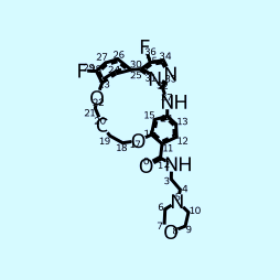 O=C(NCCN1CCOCC1)c1ccc2cc1OCCCCOc1cc(ccc1F)-c1nc(ncc1F)N2